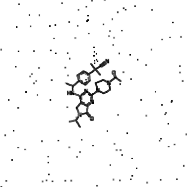 CC(=O)N1CCN(c2nc(NC(C)c3ccc(C(C)(C)C#N)cc3)c3c(n2)C(=O)N(C(C)C)C3)CC1